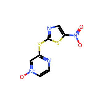 O=[N+]([O-])c1cnc(Sc2c[n+]([O-])ccn2)s1